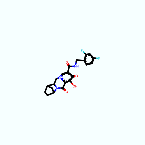 O=C(NCc1ccc(F)cc1F)c1cn2c(c(O)c1=O)C(=O)N1C3CCC(C3)C1C2